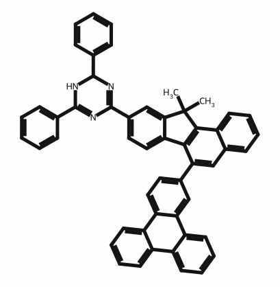 CC1(C)c2cc(C3=NC(c4ccccc4)NC(c4ccccc4)=N3)ccc2-c2c(-c3ccc4c5ccccc5c5ccccc5c4c3)cc3ccccc3c21